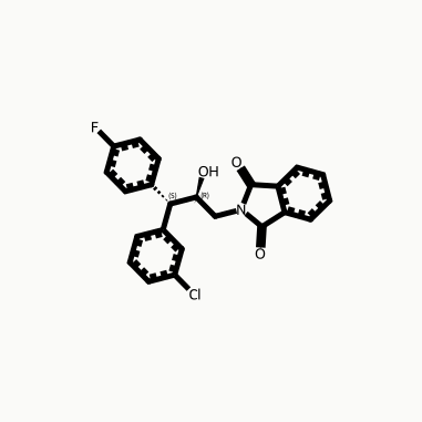 O=C1c2ccccc2C(=O)N1C[C@H](O)[C@@H](c1ccc(F)cc1)c1cccc(Cl)c1